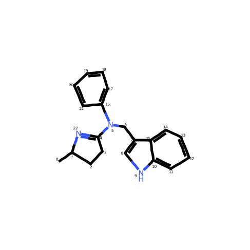 CC1CCC(N(Cc2c[nH]c3ccccc23)c2ccccc2)=N1